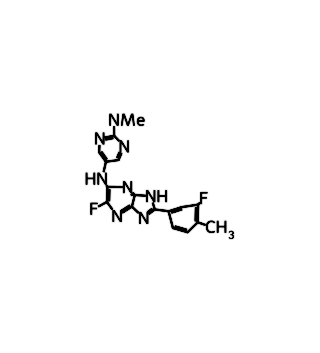 CNc1ncc(Nc2nc3[nH]c(-c4ccc(C)c(F)c4)nc3nc2F)cn1